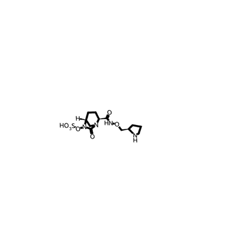 O=C(NOC[C@H]1CCCN1)[C@@H]1CC[C@@H]2CN1C(=O)N2OS(=O)(=O)O